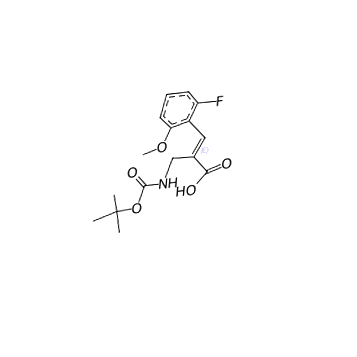 COc1cccc(F)c1/C=C(\CNC(=O)OC(C)(C)C)C(=O)O